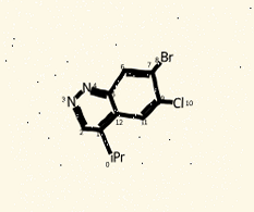 CC(C)c1cnnc2cc(Br)c(Cl)cc12